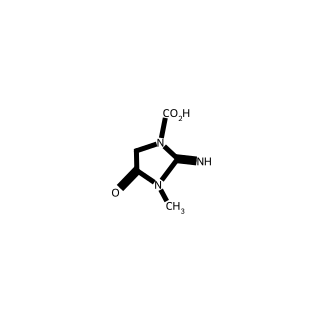 CN1C(=N)N(C(=O)O)CC1=O